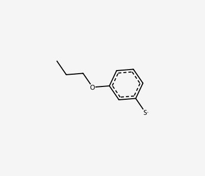 CCCOc1cccc([S])c1